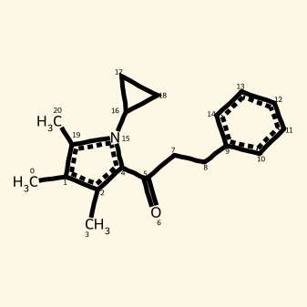 Cc1c(C)c(C(=O)CCc2ccccc2)n(C2CC2)c1C